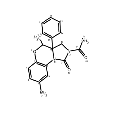 CC1Oc2ccc(N)cc2N2C(=O)N(C(N)=O)CC12c1ccccc1